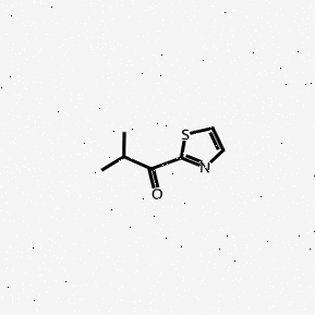 CC(C)C(=O)c1nccs1